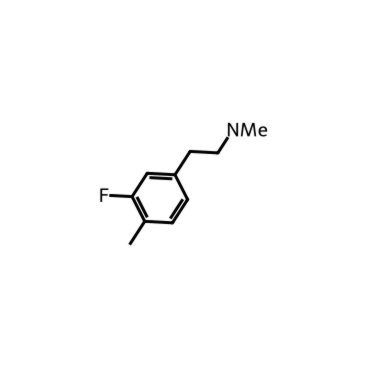 CNCCc1ccc(C)c(F)c1